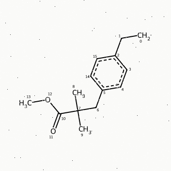 [CH2]Cc1ccc(CC(C)(C)C(=O)OC)cc1